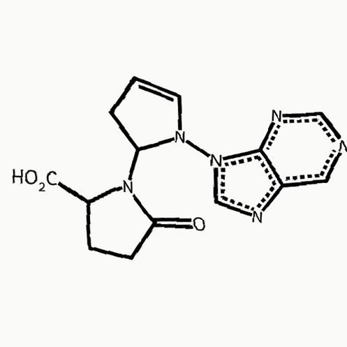 O=C(O)C1CCC(=O)N1C1CC=CN1n1cnc2cncnc21